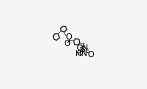 O=C1CN(Cc2ccc(C(=O)OCc3ccccc3-c3ccccc3)cc2)S(=O)(=O)N1